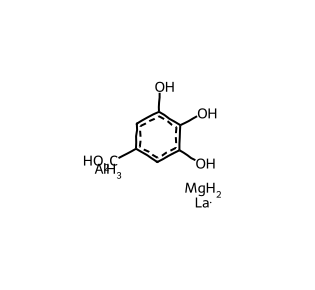 O=C(O)c1cc(O)c(O)c(O)c1.[AlH3].[La].[MgH2]